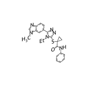 CCn1c(SC2(C(=O)Nc3ccccc3)CC2)nnc1-c1ccc2ncn(C)c2c1